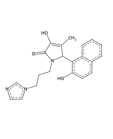 CC1=C(O)C(=O)N(CCCn2ccnc2)C1c1c(O)ccc2ccccc12